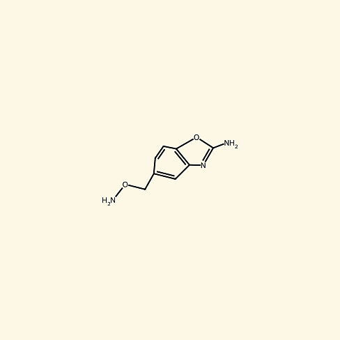 NOCc1ccc2oc(N)nc2c1